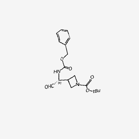 CC(C)(C)OC(=O)N1CC([C@H](C=O)NC(=O)OCc2ccccc2)C1